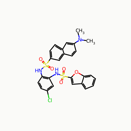 CN(C)c1ccc2cc(S(=O)(=O)Nc3ccc(Cl)cc3NS(=O)(=O)c3cc4ccccc4o3)ccc2c1